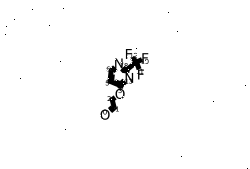 O=CCOc1ccnc(C(F)(F)F)n1